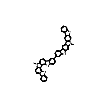 In1c2cc3oc4ccccc4c3cc2c2cc3c(cc21)oc1cc(-c2ccc4oc5c(ccc6c5c5c7oc8ccccc8c7ccc5n6I)c4c2)ccc13